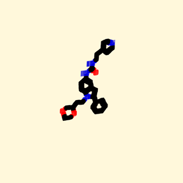 O=C(NCCc1ccncc1)Nc1ccc2c(c1)cc(-c1ccccc1)n2CCC1COCCO1